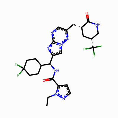 CCn1nccc1C(=O)N[C@H](c1cn2nc(C[C@H]3C[C@@H](C(F)(F)F)CNC3=O)cnc2n1)C1CCC(F)(F)CC1